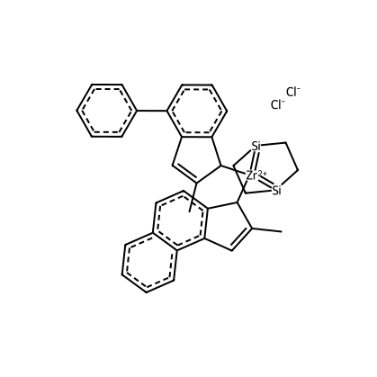 CC1=Cc2c(-c3ccccc3)cccc2[CH]1[Zr+2]1([CH]2C(C)=Cc3c2ccc2ccccc32)=[Si]2CC[Si]=1CC2.[Cl-].[Cl-]